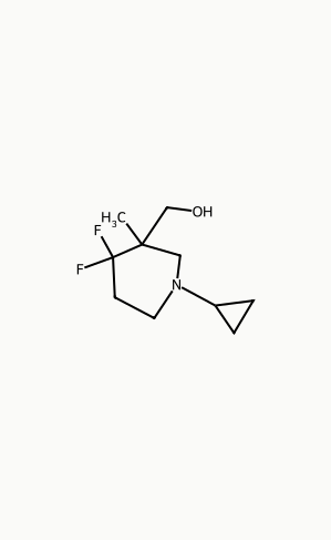 CC1(CO)CN(C2CC2)CCC1(F)F